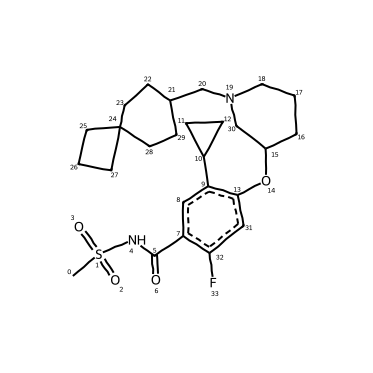 CS(=O)(=O)NC(=O)c1cc(C2CC2)c(OC2CCCN(CC3CCC4(CCC4)CC3)C2)cc1F